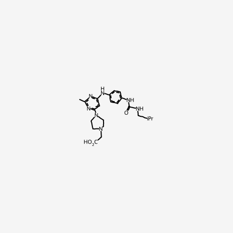 Cc1nc(Nc2ccc(NC(=O)NCC(C)C)cc2)cc(N2CCN(CC(=O)O)CC2)n1